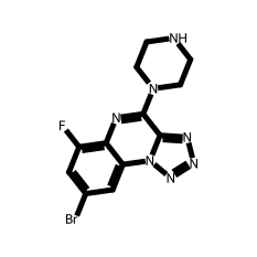 Fc1cc(Br)cc2c1nc(N1CCNCC1)c1nnnn12